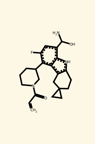 C=CC(=O)N1CCCC(c2c(F)cc(C(N)O)c3[nH]c4c(c23)CC2(CC4)CC2)C1